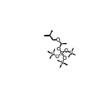 C=C(C)COC(C)O[Si](O[Si](C)(C)C)(O[Si](C)(C)C)O[Si](C)(C)C